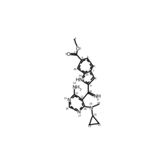 COC(=O)c1ccc2cc(C(=N)c3c(N)ncnc3N(C)C3CC3)[nH]c2c1